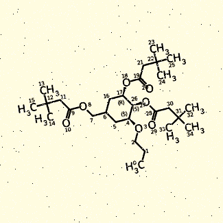 CCCO[C@H]1CC(COC(=O)CC(C)(C)C)C[C@@H](OC(=O)CC(C)(C)C)[C@H]1OC(=O)CC(C)(C)C